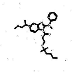 CCCCC(C)(C)SCCC(=O)n1c(N(C)c2ccccc2)nc2cc(C(C)CCC)ccc21